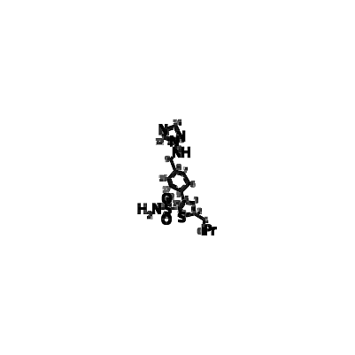 CC(C)Cc1cc(-c2ccc(CNn3cncn3)cc2)c(S(N)(=O)=O)s1